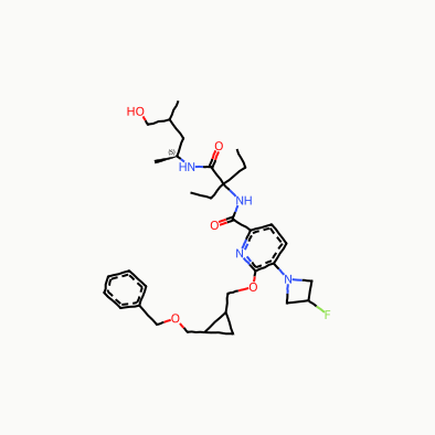 CCC(CC)(NC(=O)c1ccc(N2CC(F)C2)c(OCC2CC2COCc2ccccc2)n1)C(=O)N[C@@H](C)CC(C)CO